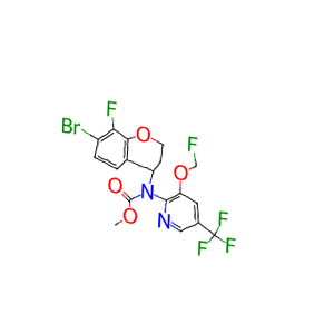 COC(=O)N(c1ncc(C(F)(F)F)cc1OCF)C1CCOc2c1ccc(Br)c2F